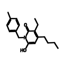 CCCCc1cc(O)n(Cc2ccc(C)cc2)c(=O)c1CC